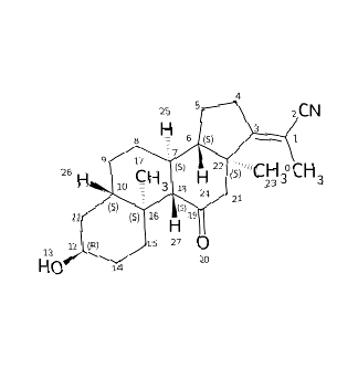 CC(C#N)=C1CC[C@H]2[C@@H]3CC[C@H]4C[C@H](O)CC[C@]4(C)[C@H]3C(=O)C[C@]12C